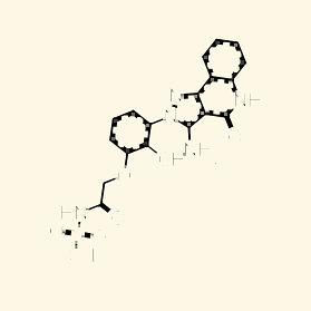 Cc1c(OCC(=O)NS(C)(=O)=O)cccc1-n1nc2c(c1N)c(=O)[nH]c1ccccc12